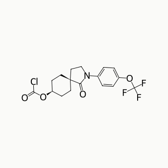 O=C(Cl)O[C@H]1CC[C@]2(CCN(c3ccc(OC(F)(F)F)cc3)C2=O)CC1